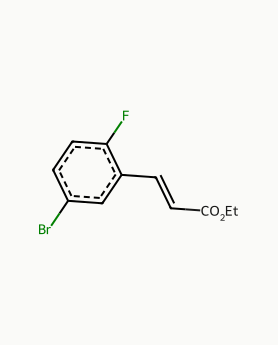 CCOC(=O)/C=C/c1cc(Br)ccc1F